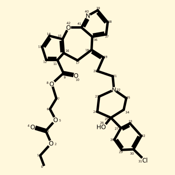 CCOC(=O)OCCOC(=O)c1cccc2c1CC(=CCCN1CCC(O)(c3ccc(Cl)cc3)CC1)c1cccnc1O2